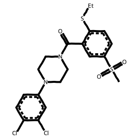 CCSc1ccc(S(C)(=O)=O)cc1C(=O)N1CCN(c2ccc(Cl)c(Cl)c2)CC1